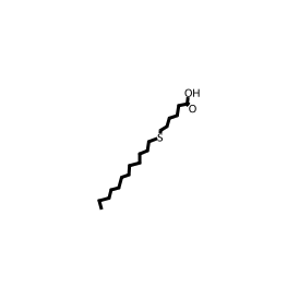 CCCCCCCCCCCCSCCCCCC(=O)O